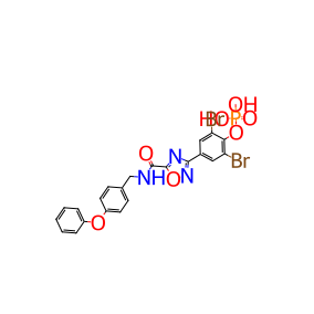 O=C(NCc1ccc(Oc2ccccc2)cc1)c1nc(-c2cc(Br)c(OP(=O)(O)O)c(Br)c2)no1